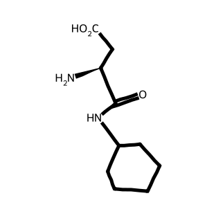 N[C@@H](CC(=O)O)C(=O)NC1CCCCC1